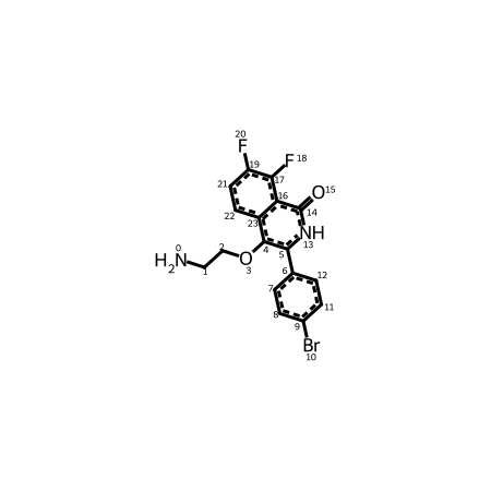 NCCOc1c(-c2ccc(Br)cc2)[nH]c(=O)c2c(F)c(F)ccc12